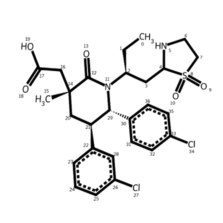 CC[C@@H](CC1NCCS1(=O)=O)N1C(=O)[C@@](C)(CC(=O)O)C[C@H](c2cccc(Cl)c2)[C@H]1c1ccc(Cl)cc1